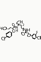 C=C(CCNC(=O)COc1ccc(Cl)c(F)c1)NC(=O)C(CCO)Oc1ccc(Cl)cc1